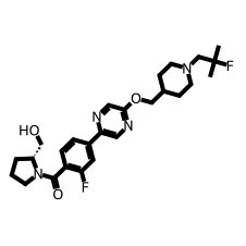 CC(C)(F)CN1CCC(COc2cnc(-c3ccc(C(=O)N4CCC[C@@H]4CO)c(F)c3)cn2)CC1